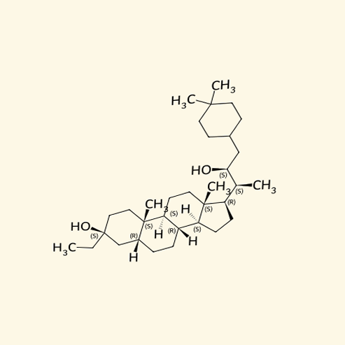 CC[C@]1(O)CC[C@@]2(C)[C@H](CC[C@@H]3[C@@H]2CC[C@]2(C)[C@@H]([C@H](C)[C@@H](O)CC4CCC(C)(C)CC4)CC[C@@H]32)C1